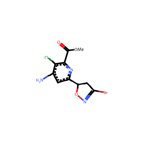 COC(=O)c1nc(C2CC(Br)=NO2)cc(N)c1Cl